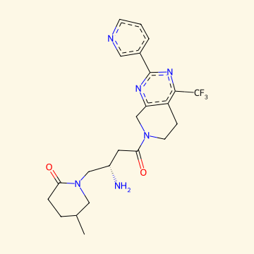 CC1CCC(=O)N(C[C@@H](N)CC(=O)N2CCc3c(nc(-c4cccnc4)nc3C(F)(F)F)C2)C1